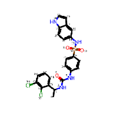 CC(NC(=O)Nc1ccc(S(=O)(=O)Nc2ccc3[nH]ccc3c2)cc1)c1cccc(Cl)c1Cl